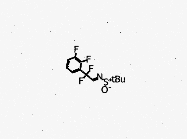 CC(C)(C)[S+]([O-])N=CC(F)(F)c1cccc(F)c1F